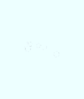 O=C(CCc1ccccc1)N(c1nc(-c2c[nH]c3ncccc23)cs1)C1CC1